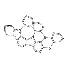 c1ccc(-n2c3ccccc3c3ccc4c5ccc6c7c5n(c4c32)-c2ccccc2B7c2ccccc2S6)cc1